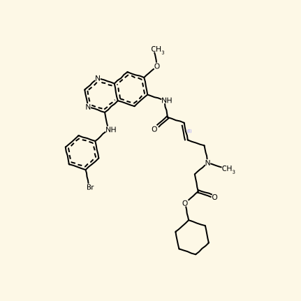 COc1cc2ncnc(Nc3cccc(Br)c3)c2cc1NC(=O)/C=C/CN(C)CC(=O)OC1CCCCC1